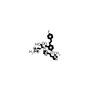 Cn1cncc1CC(Oc1ccc(CCc2ccc(F)cc2)c(C(=O)N[C@@H](CCS(C)(=O)=O)C(=O)O)c1)c1nccs1